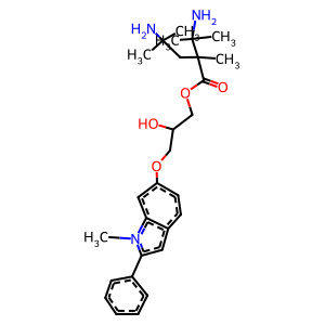 Cn1c(-c2ccccc2)cc2ccc(OCC(O)COC(=O)C(C)(CC(C)(C)N)C(C)(C)N)cc21